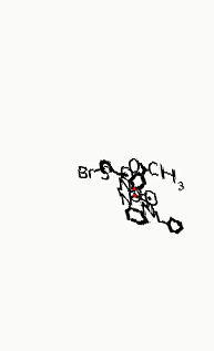 Cc1coc2ccc(S(=O)(=O)N(CCc3ccccc3)c3ccccc3N3CCN(C(=O)c4ccc(Br)s4)CC3)cc12